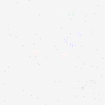 COc1cc(CC(=O)NN(c2ccc(Oc3ccc(F)cc3)cc2)c2c(C)cccc2N2CCCCC2)ccc1C(=O)O.Cl